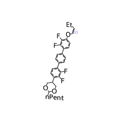 CC/C=C\Oc1ccc(-c2ccc(-c3ccc(C4COC(CCCCC)OC4)c(F)c3F)cc2)c(F)c1F